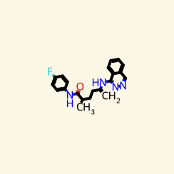 C=C(CCC(C)C(=O)Nc1ccc(F)cc1)Nc1nncc2ccccc12